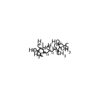 CCCC(C)(O)C(O)N(C)CCC(O)C[C@@H](C)CC(C)C(=O)O